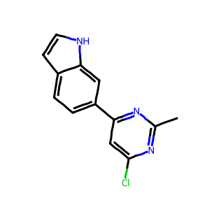 Cc1nc(Cl)cc(-c2ccc3cc[nH]c3c2)n1